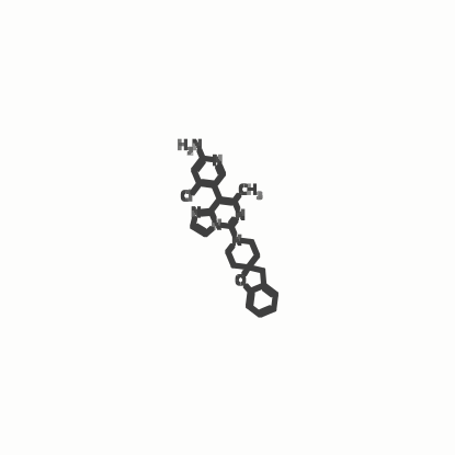 Cc1nc(N2CCC3(CC2)Cc2ccccc2O3)n2ccnc2c1-c1cnc(N)cc1Cl